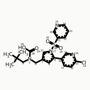 CC(C)(C)CN(Cc1cc(-c2ccc(Cl)nc2)n(S(=O)(=O)c2cccnc2)c1)C(=O)O